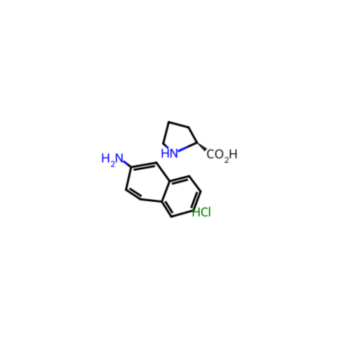 Cl.Nc1ccc2ccccc2c1.O=C(O)[C@@H]1CCCN1